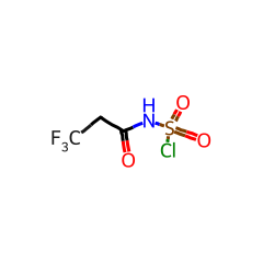 O=C(CC(F)(F)F)NS(=O)(=O)Cl